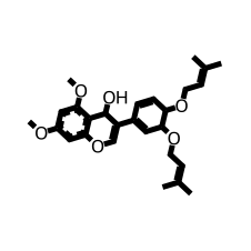 COc1cc(OC)c2c(c1)OC=C(C1=CC(OCC=C(C)C)C(OCC=C(C)C)C=C1)C2O